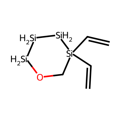 C=C[Si]1(C=C)CO[SiH2][SiH2][SiH2]1